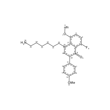 CCCOc1ccc(F)c2c(=O)c(-c3ccc(OC)cc3)cn(CCCCCCN)c12